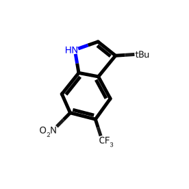 CC(C)(C)c1c[nH]c2cc([N+](=O)[O-])c(C(F)(F)F)cc12